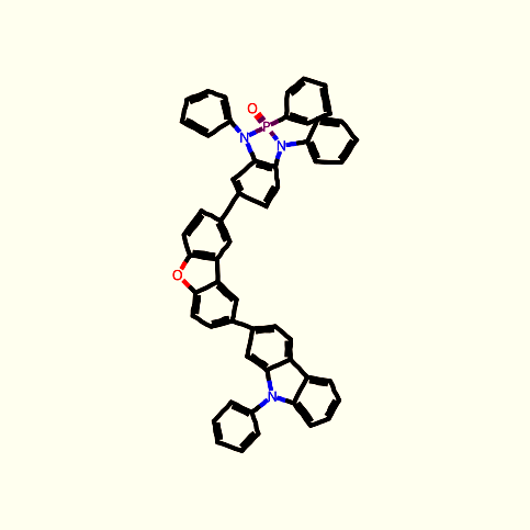 O=P1(c2ccccc2)N(c2ccccc2)c2ccc(-c3ccc4oc5ccc(-c6ccc7c8ccccc8n(-c8ccccc8)c7c6)cc5c4c3)cc2N1c1ccccc1